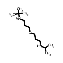 CC(C)NCCCOCCCNC(C)(C)C